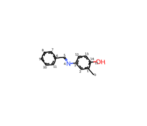 Cc1cc(N=Cc2ccccc2)ccc1O